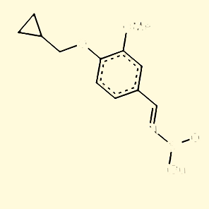 COc1cc(C=N[S+]([O-])C(C)(C)C)ccc1OCC1CC1